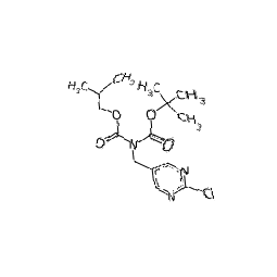 CC(C)COC(=O)N(Cc1cnc(Cl)nc1)C(=O)OC(C)(C)C